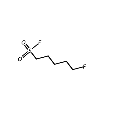 O=S(=O)(F)CCCCCF